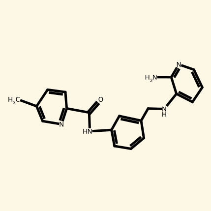 Cc1ccc(C(=O)Nc2cccc(CNc3cccnc3N)c2)nc1